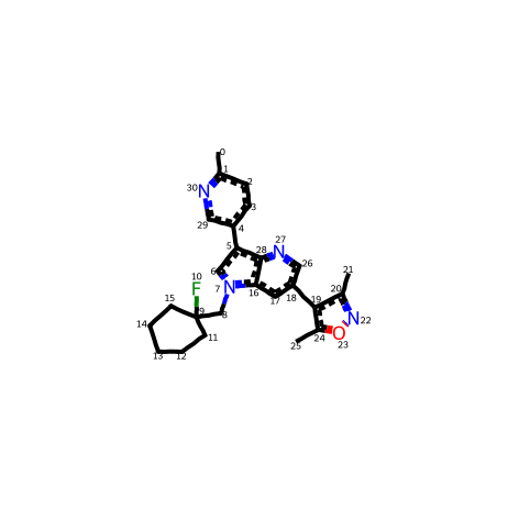 Cc1ccc(-c2cn(CC3(F)CCCCC3)c3cc(-c4c(C)noc4C)cnc23)cn1